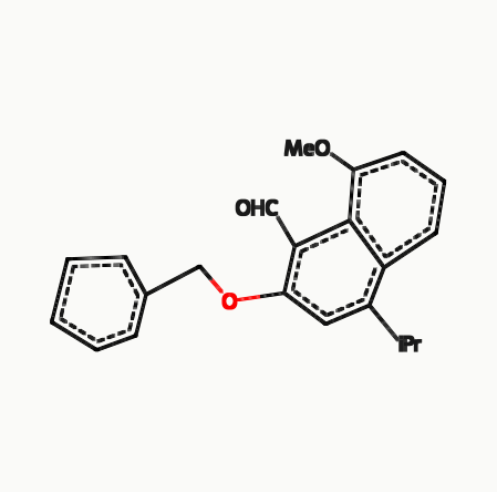 COc1cccc2c(C(C)C)cc(OCc3ccccc3)c(C=O)c12